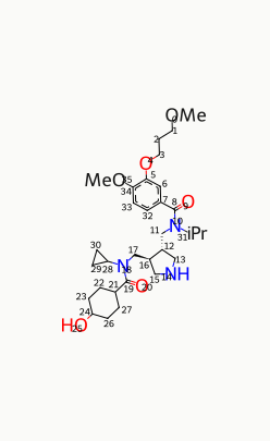 COCCCOc1cc(C(=O)N(C[C@@H]2CNC[C@H]2CN(C(=O)C2CCC(O)CC2)C2CC2)C(C)C)ccc1OC